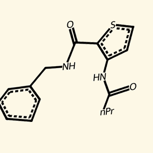 CCCC(=O)Nc1ccsc1C(=O)NCc1ccccc1